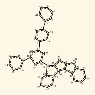 c1ccc(-c2ccc(-c3nc(-c4ccccc4)nc(-n4c5ccccc5n5c6c(nc45)oc4ccccc46)n3)cc2)cc1